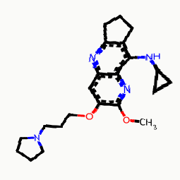 COc1nc2c(NC3CC3)c3c(nc2cc1OCCCN1CCCC1)CCC3